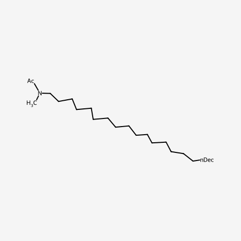 CCCCCCCCCCCCCCCCCCCCCCCCCCN(C)C(C)=O